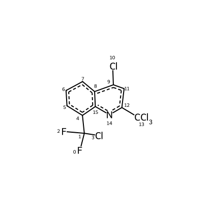 FC(F)(Cl)c1cccc2c(Cl)cc(C(Cl)(Cl)Cl)nc12